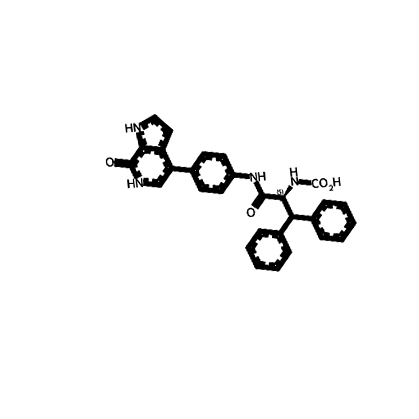 O=C(O)N[C@H](C(=O)Nc1ccc(-c2c[nH]c(=O)c3[nH]ccc23)cc1)C(c1ccccc1)c1ccccc1